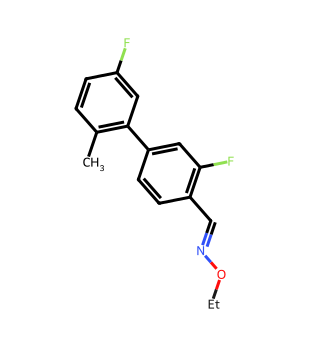 CCO/N=C/c1ccc(-c2cc(F)ccc2C)cc1F